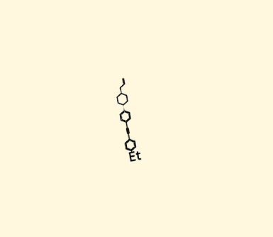 C=CC[C@H]1CC[C@H](c2ccc(C#Cc3ccc(CC)cc3)cc2)CC1